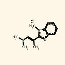 C/C(=C\N(C)C)c1sc2ccccc2[n+]1C.[Cl-]